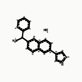 Cl.NC(c1ccccn1)c1cnc2cc(-c3cn[nH]c3)ccc2n1